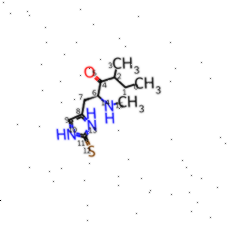 CCC(C)C(=O)[C@H](Cc1c[nH]c(=S)[nH]1)NC